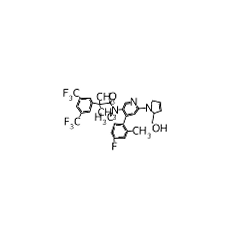 Cc1cc(F)ccc1-c1cc(N2CC=CC2CO)ncc1N(C)C(=O)C(C)(C)c1cc(C(F)(F)F)cc(C(F)(F)F)c1